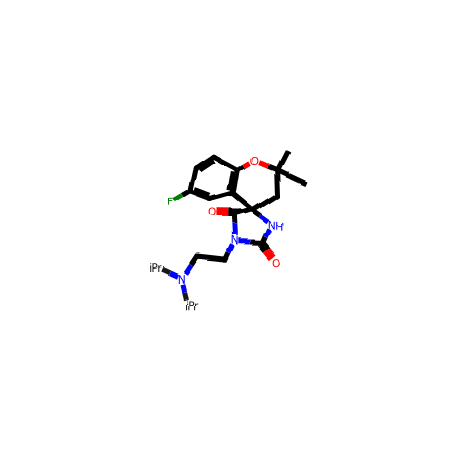 CC(C)N(CCN1C(=O)NC2(CC(C)(C)Oc3ccc(F)cc32)C1=O)C(C)C